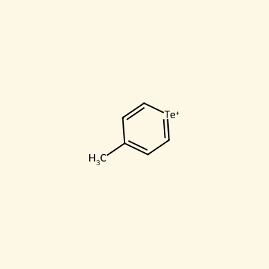 Cc1cc[te+]cc1